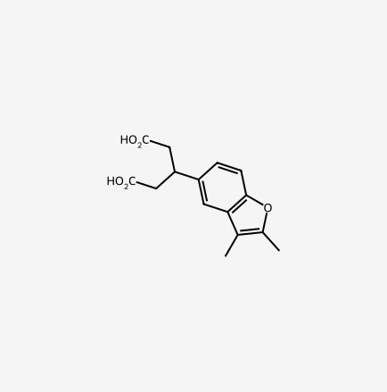 Cc1oc2ccc(C(CC(=O)O)CC(=O)O)cc2c1C